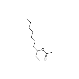 CCCCCCCC(CC)OC(C)=O